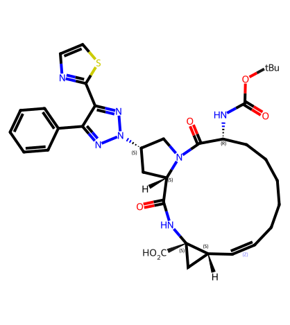 CC(C)(C)OC(=O)N[C@@H]1CCCCC/C=C\[C@@H]2C[C@]2(C(=O)O)NC(=O)[C@@H]2C[C@H](n3nc(-c4ccccc4)c(-c4nccs4)n3)CN2C1=O